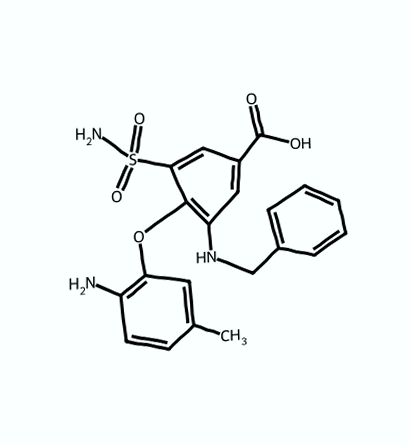 Cc1ccc(N)c(Oc2c(NCc3ccccc3)cc(C(=O)O)cc2S(N)(=O)=O)c1